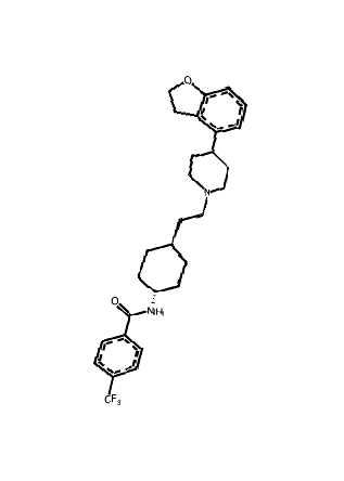 O=C(N[C@H]1CC[C@H](CCN2CCC(c3cccc4c3CCO4)CC2)CC1)c1ccc(C(F)(F)F)cc1